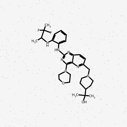 CC(Nc1ccccc1Nc1nc(N2CCOCC2)c2nc(CN3CCC(C(C)(C)O)CC3)ccc2n1)C(C)(F)F